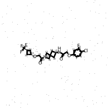 O=C(COc1ccc(Cl)c(F)c1)NC1CC2(C1)CN(C(=O)CO[C@H]1C[C@H](C(F)(F)F)C1)C2